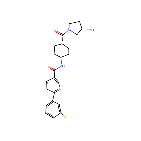 N[C@H]1CCN(C(=O)[C@H]2CC[C@H](NC(=O)c3ccc(-c4cccc(F)c4)nc3)CC2)C1